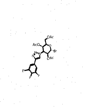 CC(=O)OCC1O[C@H](Br)C(OC(C)=O)C(n2cc(C3=CC(F)C(F)C(F)=C3)nn2)[C@H]1OC(C)=O